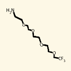 NCCOCCOCCOCCOCC(F)(F)F